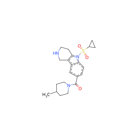 CC1CCN(C(=O)c2ccc3c(c2)c2c(n3S(=O)(=O)C3CC3)CCNC2)CC1